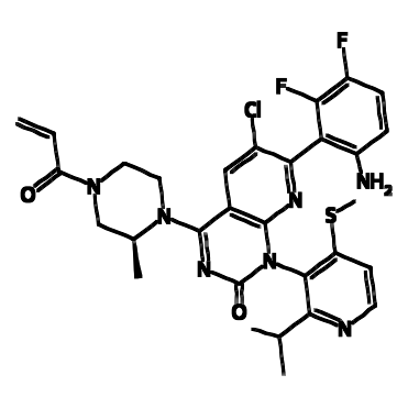 C=CC(=O)N1CCN(c2nc(=O)n(-c3c(SC)ccnc3C(C)C)c3nc(-c4c(N)ccc(F)c4F)c(Cl)cc23)[C@@H](C)C1